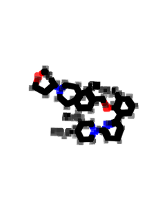 CO[C@@H]1CN(c2cccc(-c3cccc(C)c3OCc3ccc4c(c3C)CCN(C3CCOCC3)CC4)n2)CC[C@@H]1C(=O)O